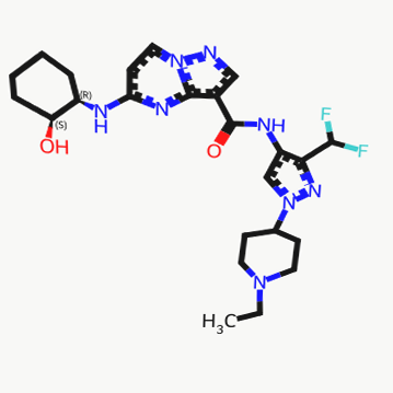 CCN1CCC(n2cc(NC(=O)c3cnn4ccc(N[C@@H]5CCCC[C@@H]5O)nc34)c(C(F)F)n2)CC1